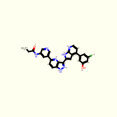 CCC(=O)Nc1cncc(-c2ccc3[nH]nc(-c4cc5c(-c6cc(O)cc(F)c6)ccnc5[nH]4)c3n2)c1